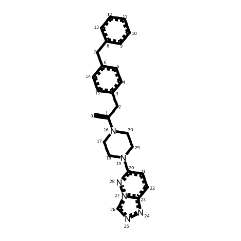 C=C(Cc1ccc(Cc2ccccc2)cc1)N1CCN(c2ccc3nncn3n2)CC1